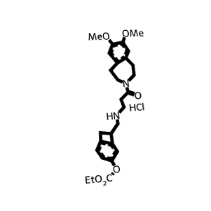 CCOC(=O)Oc1ccc2c(c1)C(CNCCC(=O)N1CCc3cc(OC)c(OC)cc3CC1)C2.Cl